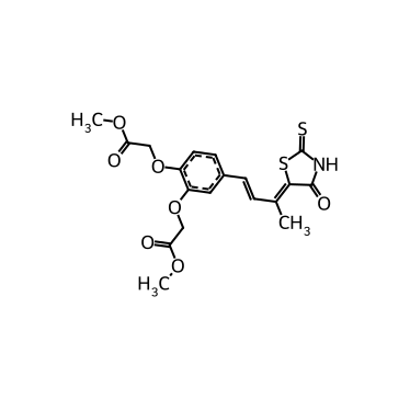 COC(=O)COc1ccc(C=CC(C)=C2SC(=S)NC2=O)cc1OCC(=O)OC